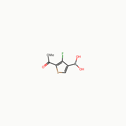 COC(=O)c1scc(B(O)O)c1F